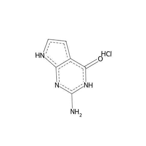 Cl.Nc1nc2[nH]ccc2c(=O)[nH]1